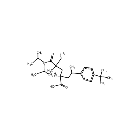 CCC(C)(CC(C)(CC(C)c1ccc(C(C)(C)C)cc1)C(=O)O)C(=O)N(C(C)C)C(C)C